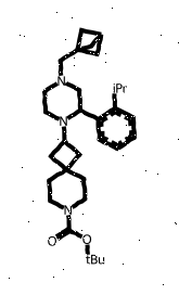 CC(C)c1ccccc1C1CN(CC23CC(C2)C3)CCN1C1CC2(CCN(C(=O)OC(C)(C)C)CC2)C1